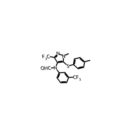 Cc1ccc(Sc2c(N(C=O)c3cccc(C(F)(F)F)c3)c(C(F)(F)F)nn2C)cc1